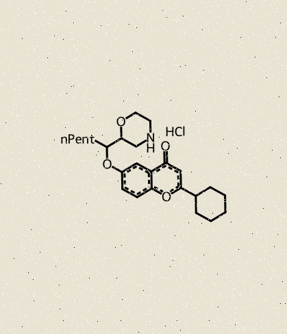 CCCCCC(Oc1ccc2oc(C3CCCCC3)cc(=O)c2c1)C1CNCCO1.Cl